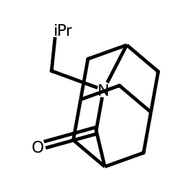 CC(C)CN1C(=O)C2CC3CC(C2)CC1C3